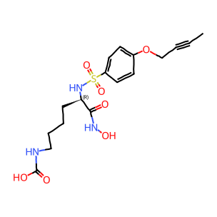 CC#CCOc1ccc(S(=O)(=O)N[C@H](CCCCNC(=O)O)C(=O)NO)cc1